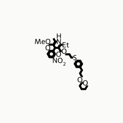 CCC1=C(C(=O)OCCCSc2ccc(CCCOC3CCCCO3)cc2)C(c2cccc([N+](=O)[O-])c2)C(C(=O)OC)=C(C)N1